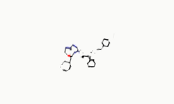 O=C(NC1=C\CCC/C=C(OCCC2C=CC=NCC2)/C=C\1)[C@@H](CNCCc1ccc(Cl)cc1)c1ccccc1